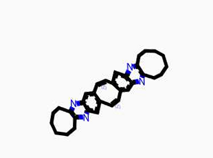 C1=C\c2cc3nc4c(nc3cc2/C=C\c2cc3nc5c(nc3cc2/1)CCCCCCC5)CCCCCC4